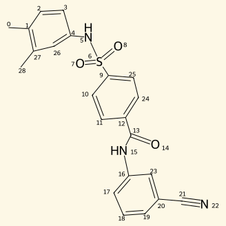 Cc1ccc(NS(=O)(=O)c2ccc(C(=O)Nc3cccc(C#N)c3)cc2)cc1C